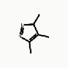 CC1=C(C)C(C)N=N1